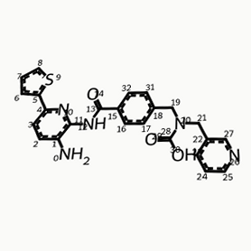 Nc1ccc(-c2cccs2)nc1NC(=O)c1ccc(CN(Cc2cccnc2)C(=O)O)cc1